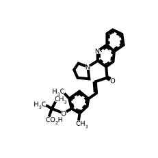 Cc1cc(C=CC(=O)c2cc3ccccc3nc2N2CCCC2)cc(C)c1OC(C)(C)C(=O)O